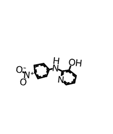 O=[N+]([O-])c1ccc(Nc2ncccc2O)cc1